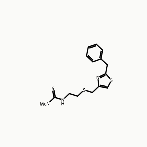 CNC(=S)NCCSCc1csc(Cc2ccccc2)n1